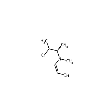 CC(Cl)[C@@H](C)N(C)/C=C\O